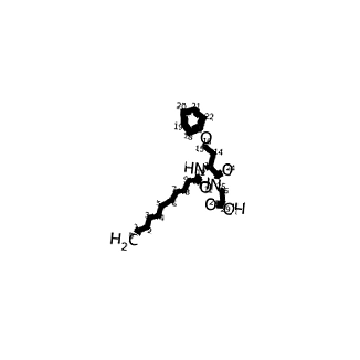 C=CCCCCCCCCC(=O)NC(CCOc1ccccc1)C(=O)NCC(=O)O